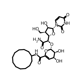 NC(=O)[C@H](O[C@H]1OC(C(=O)NC2CCCCCCCCCCC2)=C[C@H](O)[C@@H]1O)[C@H]1O[C@@H](n2ccc(=O)[nH]c2=O)[C@H](O)[C@@H]1CO